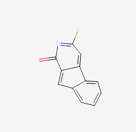 O=C1N=C(Cl)C=C2C1=Cc1ccccc12